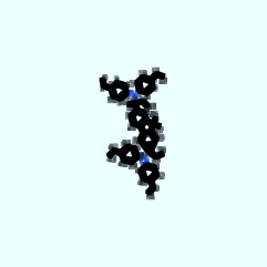 CCc1ccc(N(c2ccc(CC)cc2)C(C)(CC)c2ccc3c(c2)C(C)(C)c2cc4c(cc2-3)C4(CC)N(c2ccc(CC)cc2)c2ccc(CC)cc2)cc1